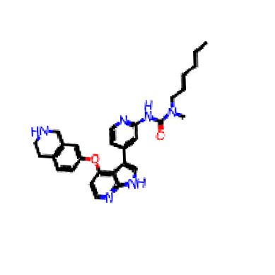 CCCCCCN(C)C(=O)Nc1cc(-c2c[nH]c3nccc(Oc4ccc5c(c4)CNCC5)c23)ccn1